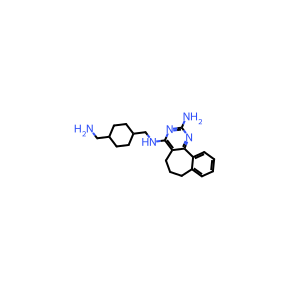 NCC1CCC(CNc2nc(N)nc3c2CCCc2ccccc2-3)CC1